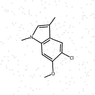 COc1cc2c(cc1Cl)c(C)cn2C